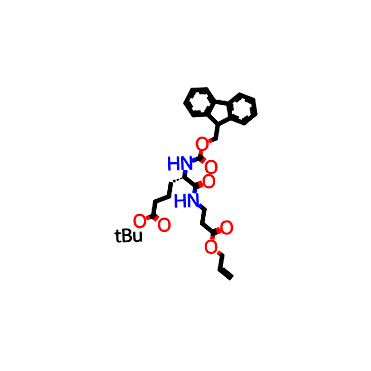 C=CCOC(=O)CCNC(=O)[C@H](CCCC(=O)OC(C)(C)C)NC(=O)OCC1c2ccccc2-c2ccccc21